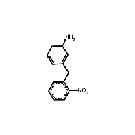 N[C@H]1C=C(Cc2ccccc2[N+](=O)[O-])C=CC1